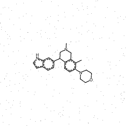 Cc1c(N2CCOCC2)ccc2c1CN(C)CC2c1ccc2cc[nH]c2c1